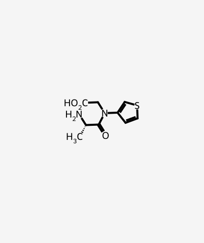 C[C@H](N)C(=O)N(CC(=O)O)c1ccsc1